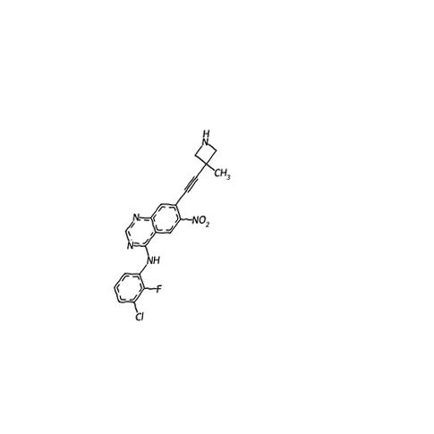 CC1(C#Cc2cc3ncnc(Nc4cccc(Cl)c4F)c3cc2[N+](=O)[O-])CNC1